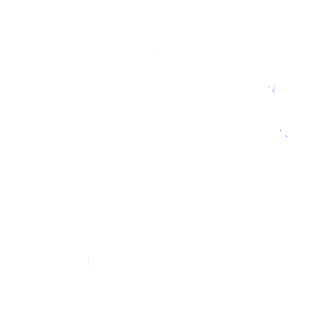 Cc1c(-c2c(F)c(F)c(F)c(F)c2F)c(-c2c(F)c(F)c(F)c(F)c2F)c(C)c2nsnc12